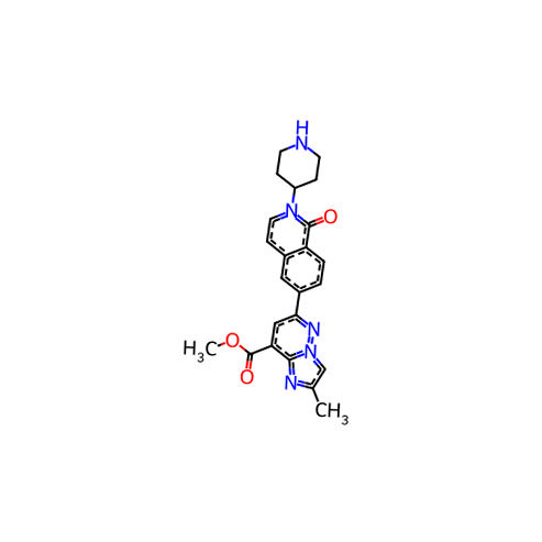 COC(=O)c1cc(-c2ccc3c(=O)n(C4CCNCC4)ccc3c2)nn2cc(C)nc12